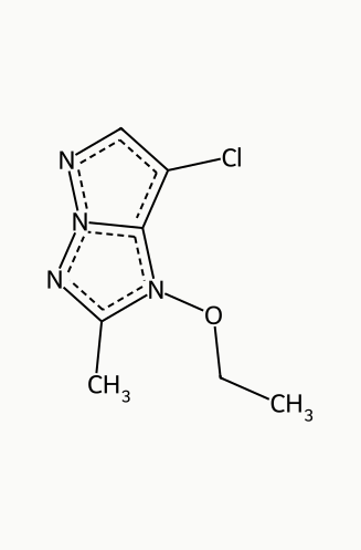 CCOn1c(C)nn2ncc(Cl)c12